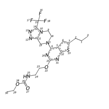 CCCc1cc2c(N3CCn4c(nnc4C(F)(F)F)C3)nc(OCCNC(=O)OCC)nc2s1